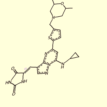 CC1CN(Cc2ccc(-c3cc(NC4CC4)n4ncc(/C=C5\NC(=O)NC5=O)c4n3)s2)CC(C)O1